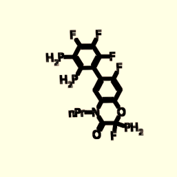 CCCN1C(=O)C(F)(P)Oc2cc(F)c(-c3c(F)c(F)c(F)c(P)c3P)cc21